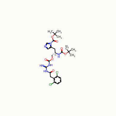 CC(C)(C)OC(=O)N[C@H](COC(=O)NC(=N)NC(=O)Cc1c(Cl)cccc1Cl)Cc1cncn1C(=O)OC(C)(C)C